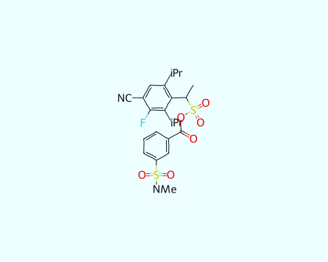 CNS(=O)(=O)c1cccc(C(=O)OS(=O)(=O)C(C)c2c(C(C)C)cc(C#N)c(F)c2C(C)C)c1